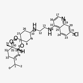 CC(C)C1=C[C@H]2OC3(CCC(NCCNc4ccnc5cc(Cl)ccc45)CC3)OO[C@@]2(C)CC1